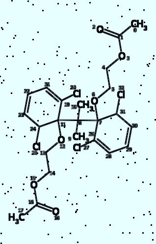 CC(=O)OCCOC1(C(C)(C)C2(OCCOC(C)=O)C(Cl)=CC=CC2Cl)C(Cl)=CC=CC1Cl